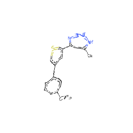 N#Cc1[nH]nnc1-c1cc(-c2cccc(C(F)(F)F)c2)cs1